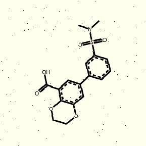 CN(C)S(=O)(=O)c1cccc(-c2cc3c(c(C(=O)O)c2)OCCO3)c1